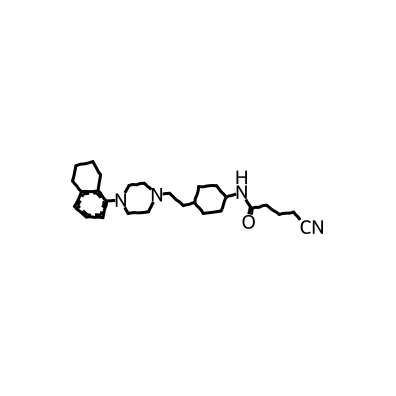 N#CCCCC(=O)NC1CCC(CCN2CCN(c3cccc4c3CCCC4)CC2)CC1